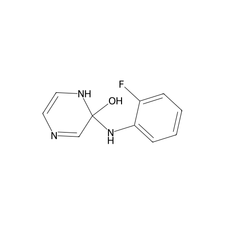 OC1(Nc2ccccc2F)C=NC=CN1